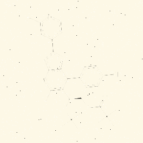 Cc1cc2cc(-c3ccnc(Cl)c3)sc2c(-c2ccc(Cl)cc2)c1[C@@H](COC(=O)C(C)(C)C)OC(C)(C)C